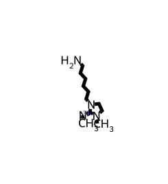 C/N=C1\N(C)CCN1CCCCCCN